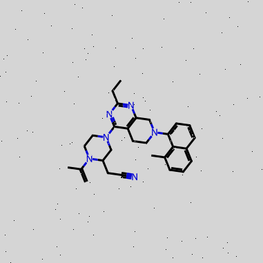 C=C(C)N1CCN(c2nc(CC)nc3c2CCN(c2cccc4cccc(C)c24)C3)CC1CC#N